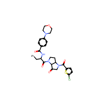 CC(C)CC(NC(=O)c1ccc(N2CCOCC2)cc1)C(=O)N1CCC2C1C(=O)CN2C(=O)c1ccc(Cl)s1